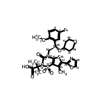 COc1ccc(F)cc1[C@H](CN1C(=O)N(C(C)(C)C(=O)O)S(=O)(=O)c2c1sc(-c1ncco1)c2C)OC1CCOCC1